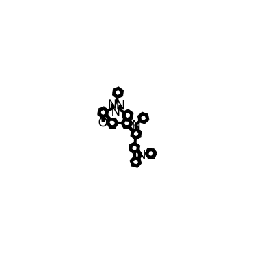 c1ccc(-c2nc(-c3ccccc3)nc(-c3cccc4oc5ccc(-c6ccc7c(c6)c6cc(-c8ccc9c%10ccccc%10n(-c%10ccccc%10)c9c8)ccc6n7-c6ccccc6)cc5c34)n2)cc1